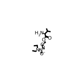 CCN(CC)/[N+]([O-])=N\OCOC(=O)[C@@H](N)C(C)C